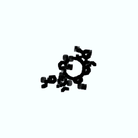 C=CC(=O)N1CC[C@H](C(=O)N(C)[C@H](C(=O)N[C@H]2Cc3cc(O)cc(c3)-c3ccc4c(c3)c(c(-c3cncc(C#N)c3)n4CC)CC(C)(C)COC(=O)[C@@H]3CCCN(N3)C2=O)C(C)C)C1